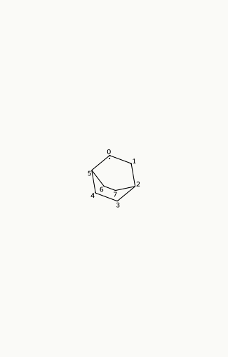 [CH]1CC2CCC1CC2